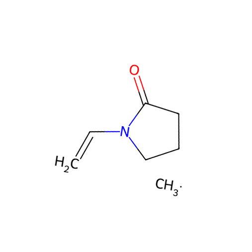 C=CN1CCCC1=O.[CH3]